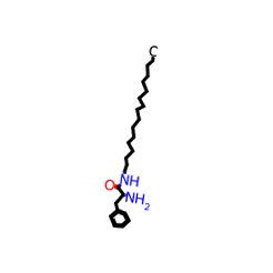 CCCCCCCCCCCCCCCCCCNC(=O)C(N)Cc1ccccc1